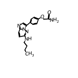 CCCCNc1ccc2ncc(-c3ccc(OCC(N)=O)cc3)n2n1